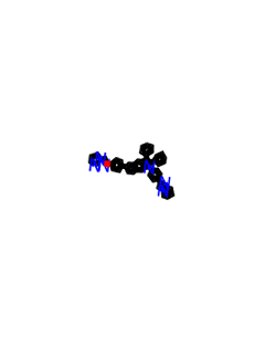 C1=CN2CC(c3ccc(-c4ccc5cc6c(cc5c4)c(-c4ccccc4)c(-c4ccccc4)n6-c4ccc(-c5cn6ccccc6n5)cc4)cc3)N=C2N=C1